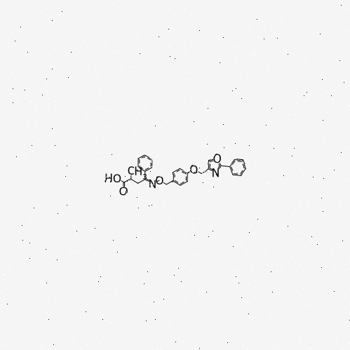 CC(CC(=NOCc1ccc(OCc2coc(-c3ccccc3)n2)cc1)c1ccccc1)C(=O)O